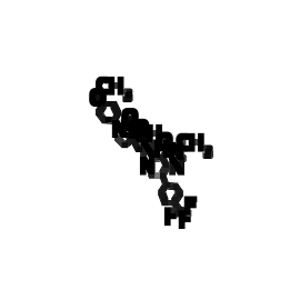 COc1ccc(N2CCC(C)(CNc3ncc(-c4ccc(C(F)(F)F)cc4)c4ncn(C)c(=O)c34)S2(=O)=O)cc1